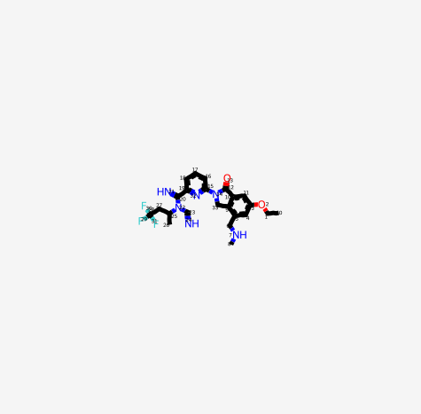 CCOc1cc(CNC)c2c(c1)C(=O)N(c1cccc(C(=N)N(C=N)C(C)CC(F)(F)F)n1)C2